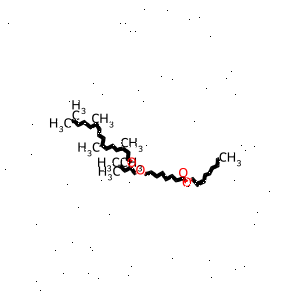 CCCCCC/C=C\COC(=O)CCCCCCCOCC(CC(C)(C)C)OCCC(C)CCC[C@H](C)CCC[C@H](C)CCCC(C)C